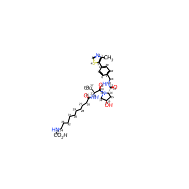 Cc1ncsc1-c1ccc(CNC(=O)[C@@H]2C[C@@H](O)CN2C(=O)[C@@H](NC(=O)CCCCCCCCCNC(=O)O)C(C)(C)C)cc1